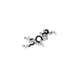 CCCCCO[C@H]1[C@H](C)OC(=O)[C@@H](NC(=O)c2nccc(OC)c2O)CCC[C@@H]1OCC(C)C